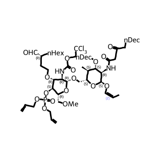 C=CCOP(=O)(OCC=C)O[C@H]1[C@H](OCC[C@H](C=O)CCCCCC)[C@@H](NC(=O)OCC(Cl)(Cl)Cl)[C@H](OC[C@H]2O[C@H](O/C=C\C)[C@H](NC(=O)CC(=O)CCCCCCCCCCC)[C@@H](OCCCCCCCCCC)[C@@H]2C)O[C@@H]1COC